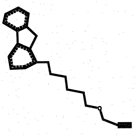 C#CCOCCCCCCc1cccc2c1Cc1ccccc1-2